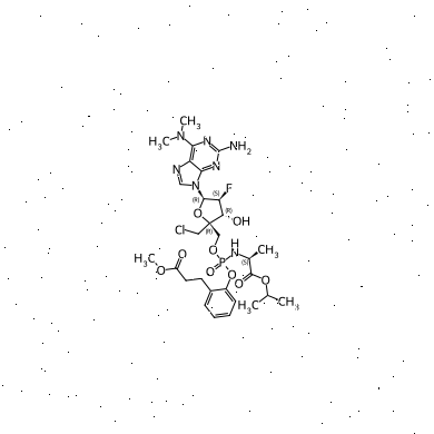 COC(=O)CCc1ccccc1OP(=O)(N[C@@H](C)C(=O)OC(C)C)OC[C@@]1(CCl)O[C@@H](n2cnc3c(N(C)C)nc(N)nc32)[C@@H](F)[C@@H]1O